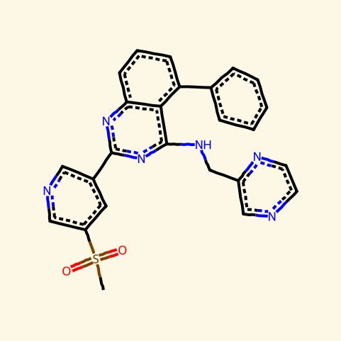 CS(=O)(=O)c1cncc(-c2nc(NCc3cnccn3)c3c(-c4ccccc4)cccc3n2)c1